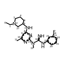 CCN1CCCC(Nc2cc(C)nc(N(C)C(=N)Nc3cccc(F)c3)n2)C1